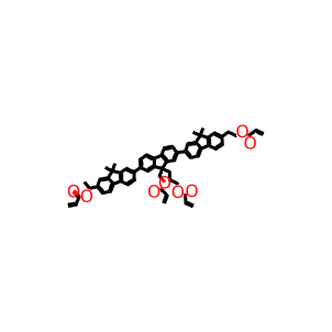 C=CC(=O)OCCCC1(COC(=O)C=C)c2cc(-c3ccc4c(c3)C(C)(C)c3cc(CCOC(=O)C=C)ccc3-4)ccc2-c2ccc(-c3ccc4c(c3)C(C)(C)c3cc(C(C)OC(=O)C=C)ccc3-4)cc21